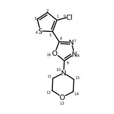 Clc1ccsc1-c1nnc(N2CCOCC2)o1